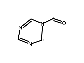 O=[C]N1[C]N=CN=C1